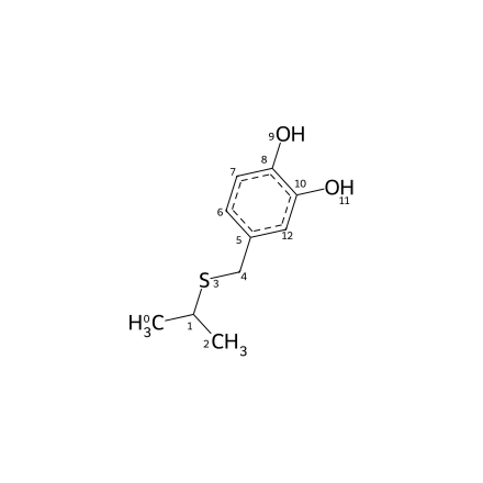 CC(C)SCc1ccc(O)c(O)c1